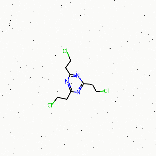 ClCCc1nc(CCCl)nc(CCCl)n1